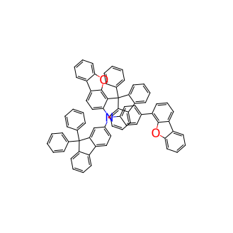 c1ccc(C2(c3ccccc3)c3ccccc3-c3ccc(N(c4ccc(-c5cccc6c5oc5ccccc56)cc4)c4ccc5c(oc6ccccc65)c4C4(c5ccccc5)c5ccccc5-c5ccccc54)cc32)cc1